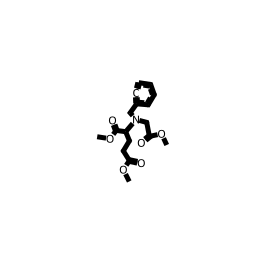 COC(=O)CCC(C(=O)OC)N(CC(=O)OC)Cc1ccccc1